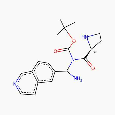 CC(C)(C)OC(=O)N(C(=O)[C@@H]1CCN1)C(N)c1ccc2cnccc2c1